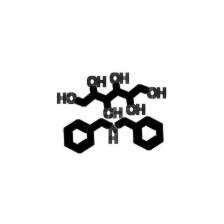 OCC(O)C(O)C(O)C(O)CO.c1ccc(CNCc2ccccc2)cc1